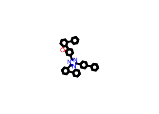 c1ccc(-c2ccc(-c3nc(-c4ccc5c(c4)oc4cccc(-c6ccccc6)c45)nc(-c4ccccc4-c4ccccc4)n3)cc2)cc1